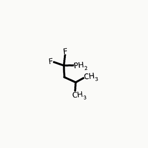 CC(C)CC(F)(F)P